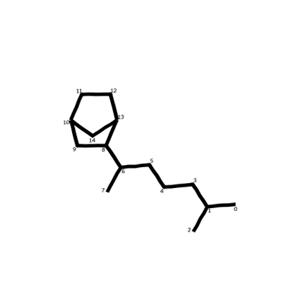 CC(C)CCCC(C)C1CC2CCC1C2